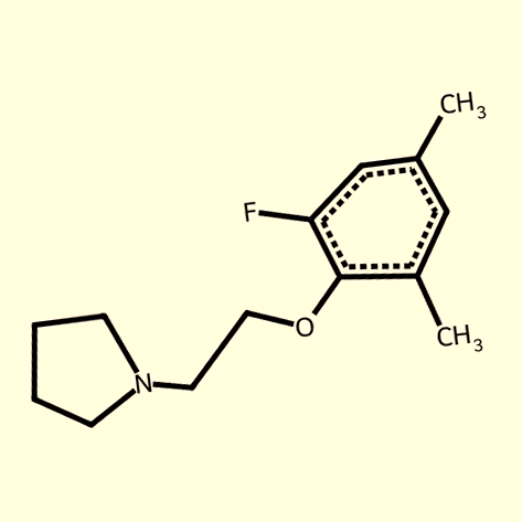 Cc1cc(C)c(OCCN2CCCC2)c(F)c1